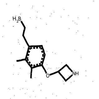 BCCc1ccc(OC2CNC2)c(C)c1C